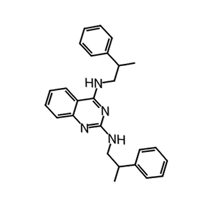 CC(CNc1nc(NCC(C)c2ccccc2)c2ccccc2n1)c1ccccc1